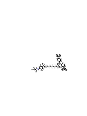 COC(=O)/C=C/c1ccc(C(=O)OCCCCCCCCC(=O)Oc2c(Cc3ccc([N+](=O)[O-])cc3)cccc2[N+](=O)[O-])cc1